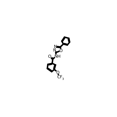 O=C(Nc1nnc(-c2ccccc2)o1)c1cccc(OC(F)(F)F)c1